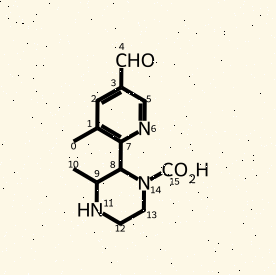 Cc1cc(C=O)cnc1C1C(C)NCCN1C(=O)O